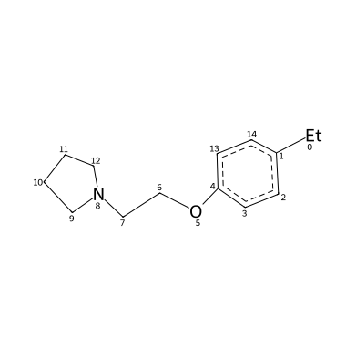 CCc1ccc(OCCN2CCCC2)cc1